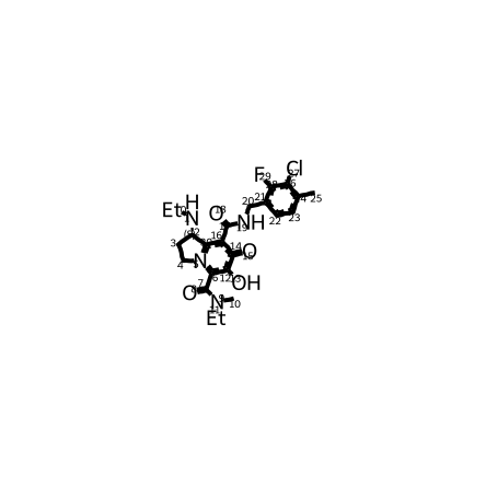 CCN[C@H]1CCn2c(C(=O)N(C)CC)c(O)c(=O)c(C(=O)NCc3ccc(C)c(Cl)c3F)c21